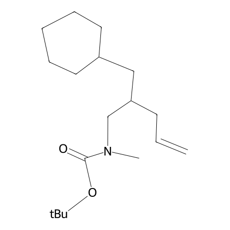 C=CCC(CC1CCCCC1)CN(C)C(=O)OC(C)(C)C